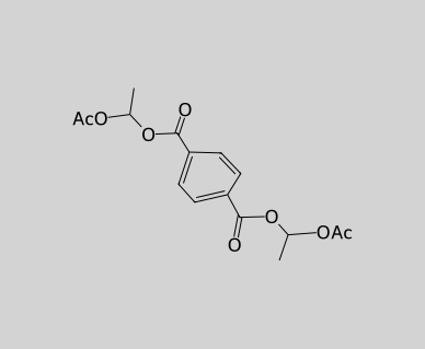 CC(=O)OC(C)OC(=O)c1ccc(C(=O)OC(C)OC(C)=O)cc1